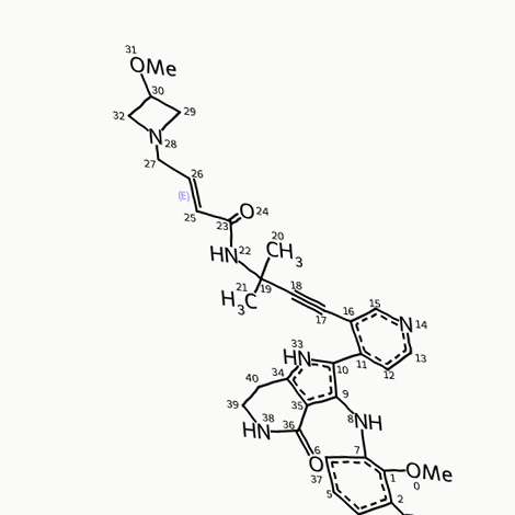 COc1c(F)cccc1Nc1c(-c2ccncc2C#CC(C)(C)NC(=O)/C=C/CN2CC(OC)C2)[nH]c2c1C(=O)NCC2